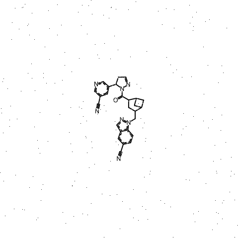 N#Cc1cncc(C2CC=NN2C(=O)C2CC(Cn3ncc4cc(C#N)ccc43)C3CC2C3)c1